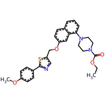 CCOC(=O)N1CCN(c2cccc3ccc(OCc4cnc(-c5ccc(OC)cc5)s4)cc23)CC1